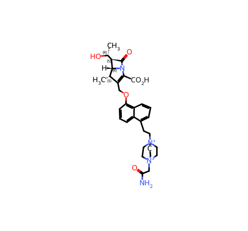 C[C@@H](O)[C@H]1C(=O)N2C(C(=O)O)=C(COc3cccc4c(CC[N+]56CC[N+](CC(N)=O)(CC5)CC6)cccc34)[C@H](C)[C@H]12